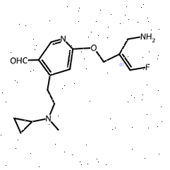 CN(CCc1cc(OC/C(=C/F)CN)ncc1C=O)C1CC1